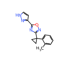 Cc1ccccc1C1(c2noc(-c3cc[nH]n3)n2)CC1